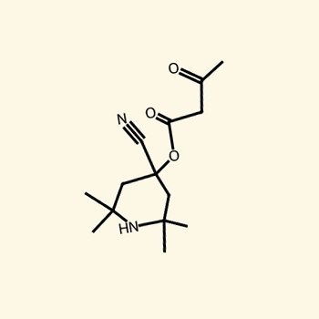 CC(=O)CC(=O)OC1(C#N)CC(C)(C)NC(C)(C)C1